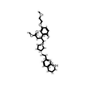 COCCOc1ccc(F)c(C(CC(=O)OC)CN2CC[C@@H](CCc3ccc4c(n3)NCCC4)C2)c1